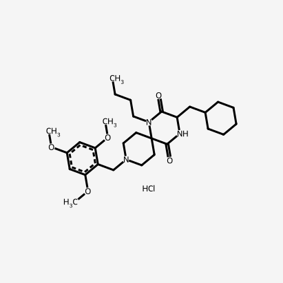 CCCCN1C(=O)C(CC2CCCCC2)NC(=O)C12CCN(Cc1c(OC)cc(OC)cc1OC)CC2.Cl